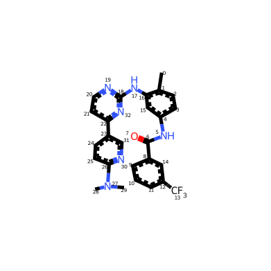 Cc1ccc(NC(=O)c2cccc(C(F)(F)F)c2)cc1Nc1nccc(-c2ccc(N(C)C)nc2)n1